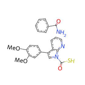 COc1ccc(-c2cn(C(=O)S)c3ncccc23)cc1OC.NC(=O)c1ccccc1